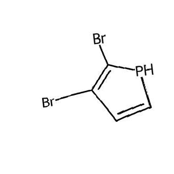 Brc1cc[pH]c1Br